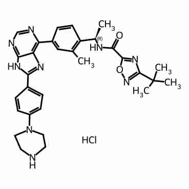 Cc1cc(-c2ncnc3[nH]c(-c4ccc(N5CCNCC5)cc4)nc23)ccc1[C@@H](C)NC(=O)c1nc(C(C)(C)C)no1.Cl